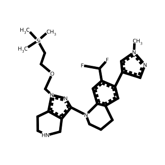 Cn1cc(-c2cc3c(cc2C(F)F)N(c2nn(COCC[Si](C)(C)C)c4c2CNCC4)CCC3)cn1